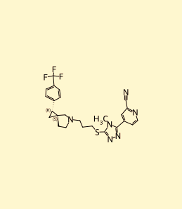 Cn1c(SCCCN2CC[C@]3(C[C@@H]3c3ccc(C(F)(F)F)cc3)C2)nnc1-c1ccnc(C#N)c1